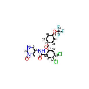 O=C(Nc1cnc[n+]([O-])c1)c1cc(Cl)c(Cl)cc1Oc1ccc(OC(F)(F)F)cc1